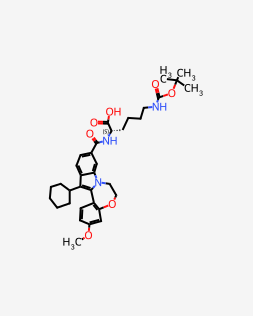 COc1ccc2c(c1)OCCn1c-2c(C2CCCCC2)c2ccc(C(=O)N[C@@H](CCCCNC(=O)OC(C)(C)C)C(=O)O)cc21